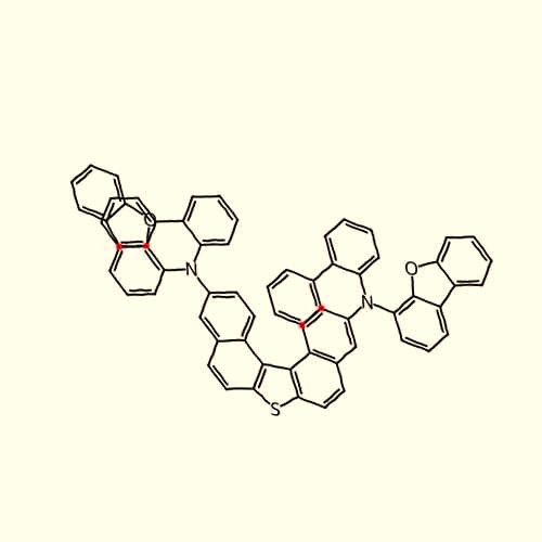 c1ccc(-c2ccccc2N(c2ccc3c(ccc4sc5ccc6cc(N(c7ccccc7-c7ccccc7)c7cccc8c7oc7ccccc78)ccc6c5c43)c2)c2cccc3c2oc2ccccc23)cc1